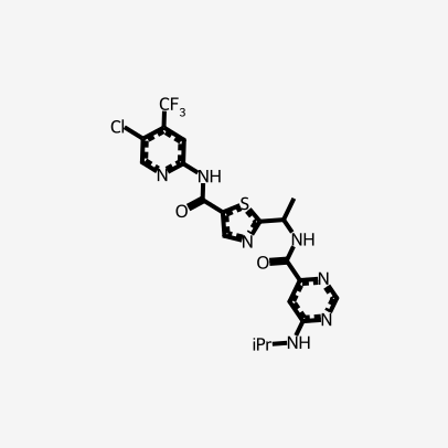 CC(C)Nc1cc(C(=O)NC(C)c2ncc(C(=O)Nc3cc(C(F)(F)F)c(Cl)cn3)s2)ncn1